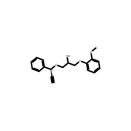 C#C[C@H](OCC(O)COc1ccccc1OC)c1ccccc1